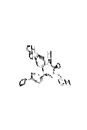 COc1ccc2c(c1)C(c1ccc(Cl)cc1)=N[C@@H](CO)C(=O)N2